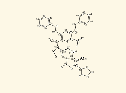 C=C(C)c1cc(C(=O)N2CCC[C@@H]2CN[C@@H](CC(C)C)C(=O)OC2CCCC2)c(OCc2ccccc2)cc1OCc1ccccc1